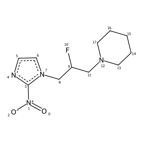 O=[N+]([O-])c1nccn1CC(F)CN1CCCCC1